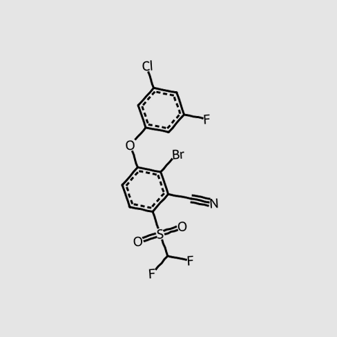 N#Cc1c(S(=O)(=O)C(F)F)ccc(Oc2cc(F)cc(Cl)c2)c1Br